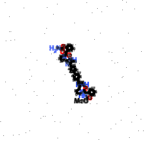 COC(=O)NC(C(=O)N1CCCC1c1nc(-c2ccc(-c3ccc(-c4nc([C@@H]5CCCN5C(=O)[C@H](OC(N)=O)c5ccccc5)[nH]c4C)cc3)cc2)c[nH]1)c1ccccc1